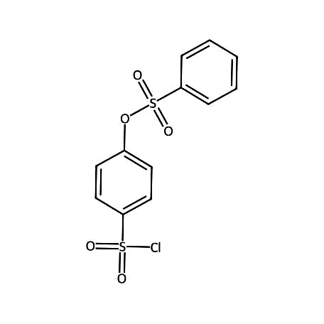 O=S(=O)(Cl)c1ccc(OS(=O)(=O)c2ccccc2)cc1